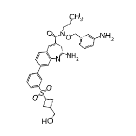 CCCN(OCc1cccc(N)c1)C(=O)C1=Cc2ccc(-c3cccc(S(=O)(=O)C4CC(CO)C4)c3)cc2N=C(N)C1